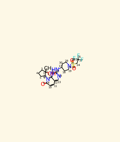 C[C@]1(O)CCC[C@@H]1n1c(=O)ccc2cnc(NC3CCN(S(=O)(=O)CC(F)(F)F)CC3)nc21